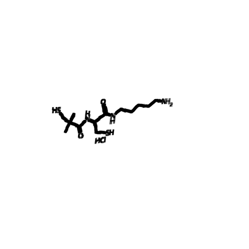 CC(C)(CS)C(=O)NC(CS)C(=O)NCCCCCN.Cl